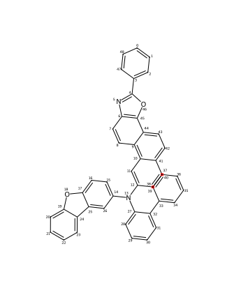 c1ccc(-c2nc3ccc4c5cc(N(c6ccc7oc8ccccc8c7c6)c6ccccc6-c6ccccc6)ccc5ccc4c3o2)cc1